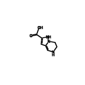 O=C(O)C1=CC2=CNCCN2N1